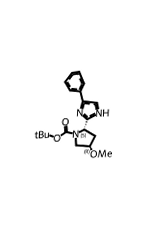 CO[C@@H]1C[C@@H](c2nc(-c3ccccc3)c[nH]2)N(C(=O)OC(C)(C)C)C1